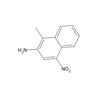 Cc1c(N)cc([N+](=O)[O-])c2ccccc12